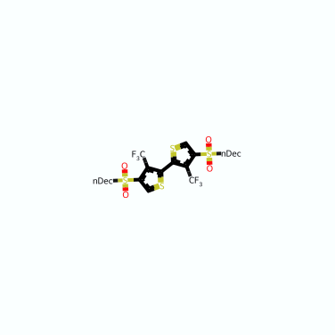 CCCCCCCCCCS(=O)(=O)c1csc(-c2scc(S(=O)(=O)CCCCCCCCCC)c2C(F)(F)F)c1C(F)(F)F